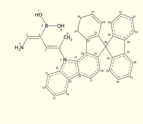 C/C(=C\C(=C/N)B(O)O)n1c2ccccc2c2ccc3c(c21)C1=C(C=CCC1)C31c2ccccc2-c2ccccc21